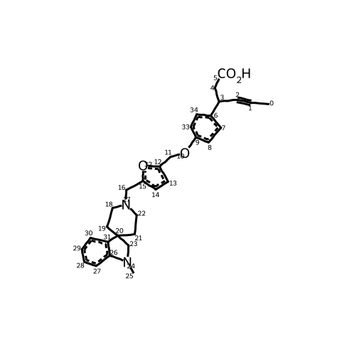 CC#CC(CC(=O)O)c1ccc(OCc2ccc(CN3CCC4(CC3)CN(C)c3ccccc34)o2)cc1